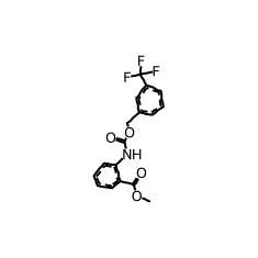 COC(=O)c1ccccc1NC(=O)OCc1cccc(C(F)(F)F)c1